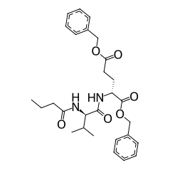 CCCC(=O)N[C@@H](C(=O)N[C@H](CCC(=O)OCc1ccccc1)C(=O)OCc1ccccc1)C(C)C